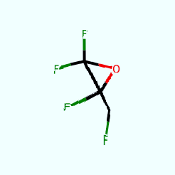 FCC1(F)OC1(F)F